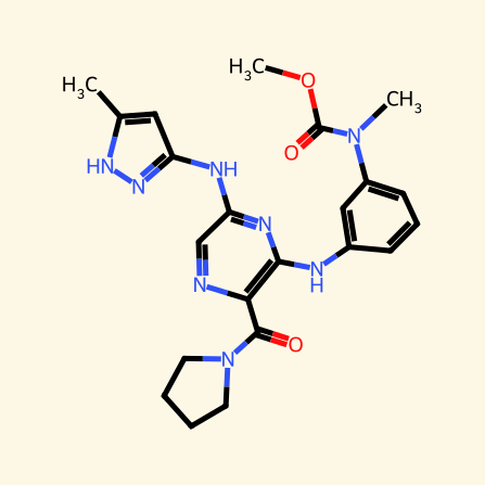 COC(=O)N(C)c1cccc(Nc2nc(Nc3cc(C)[nH]n3)cnc2C(=O)N2CCCC2)c1